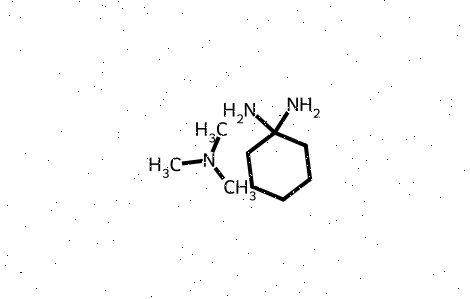 CN(C)C.NC1(N)CCCCC1